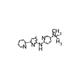 CN(C)c1ccc(Nc2nc(-c3ccccn3)cs2)nc1